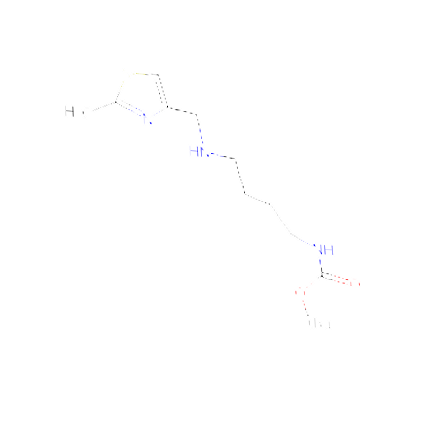 Cc1nc(CNCCCCNC(=O)OC(C)(C)C)cs1